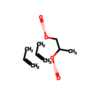 C=CC.C=CC.CC(COB=O)OB=O